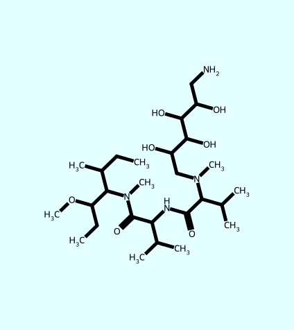 CCC(C)C(C(CC)OC)N(C)C(=O)C(NC(=O)C(C(C)C)N(C)CC(O)C(O)C(O)C(O)CN)C(C)C